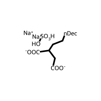 CCCCCCCCCCCCC(CC(=O)[O-])C(=O)[O-].O=S(=O)(O)O.[Na+].[Na+]